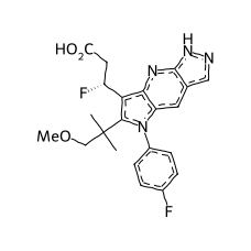 COCC(C)(C)c1c([C@H](F)CC(=O)O)c2nc3[nH]ncc3cc2n1-c1ccc(F)cc1